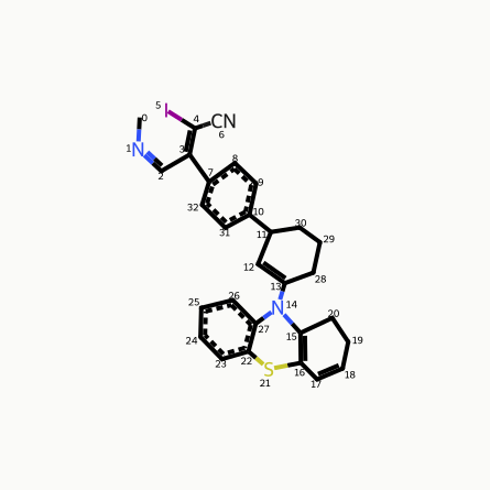 C/N=C\C(=C(/I)C#N)c1ccc(C2C=C(N3C4=C(C=CCC4)Sc4ccccc43)CCC2)cc1